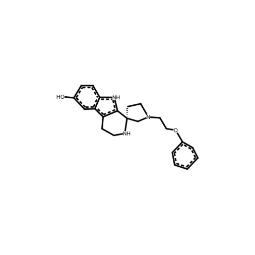 Oc1ccc2[nH]c3c(c2c1)CCN[C@@]31CCN(CCOc2ccccc2)C1